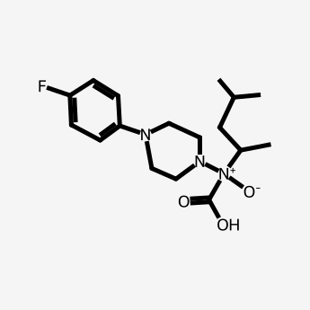 CC(C)CC(C)[N+]([O-])(C(=O)O)N1CCN(c2ccc(F)cc2)CC1